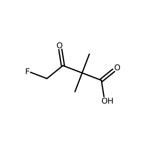 CC(C)(C(=O)O)C(=O)CF